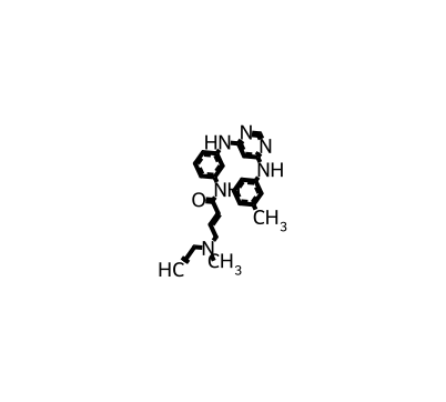 C#CCN(C)C/C=C/C(=O)Nc1cccc(Nc2cc(Nc3cccc(C)c3)ncn2)c1